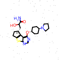 NC(=O)C(O)C[C@H]1CCc2sc3ncnc(O[C@H]4CC[C@H](N5CCCC5)CC4)c3c21